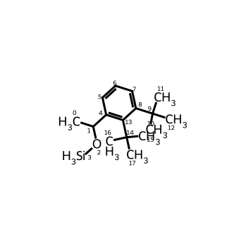 CC(O[SiH3])c1cccc(C(C)(C)C)c1C(C)(C)C